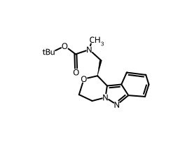 CN(C[C@@H]1OCCn2nc3ccccc3c21)C(=O)OC(C)(C)C